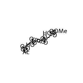 COCC1(C)OC(=O)C(/C=C/C=C/C=C2C(=O)OC(c3cc(C)c(C4OC(=O)C(/C=C/C=C/C=C5C(=O)OC(C)(C(C)=O)OC5=O)=C(O)O4)cc3C)OC2=O)=C(O)O1